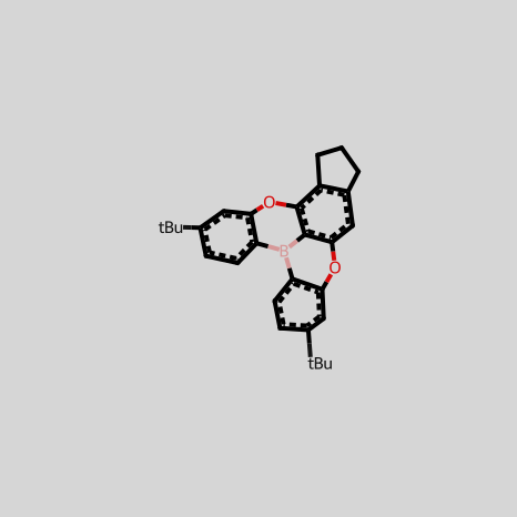 CC(C)(C)c1ccc2c(c1)Oc1cc3c(c4c1B2c1ccc(C(C)(C)C)cc1O4)CCC3